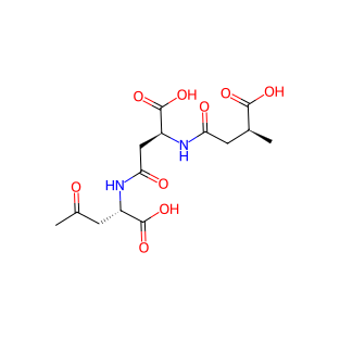 CC(=O)C[C@H](NC(=O)C[C@H](NC(=O)C[C@H](C)C(=O)O)C(=O)O)C(=O)O